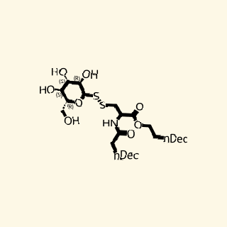 CCCCCCCCCCCCOC(=O)C(CSSC1O[C@H](CO)[C@@H](O)[C@H](O)[C@H]1O)NC(=O)CCCCCCCCCCC